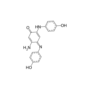 NC1=CC(=O)C(Nc2ccc(O)cc2)=C/C1=N/c1ccc(O)cc1